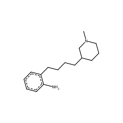 CN1CCCC(CCCCc2ccccc2N)C1